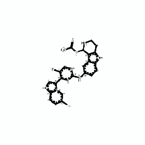 O=C(OC1NCCc2[nH]c3ccc(Nc4ncc(F)c(-c5cnc6ccc(F)cn56)n4)cc3c21)C(F)(F)F